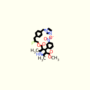 COC(=O)C1=C(C)NC(C)=C(C(=O)OC/C(F)=C\c2ccc(Cn3ccnc3)cc2)C1c1cccc([N+](=O)[O-])c1